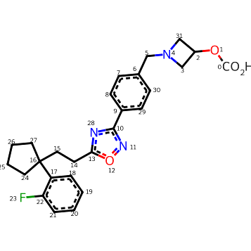 O=C(O)OC1CN(Cc2ccc(-c3noc(CCC4(c5ccccc5F)CCCC4)n3)cc2)C1